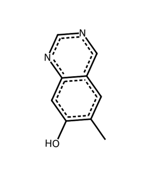 Cc1cc2cncnc2cc1O